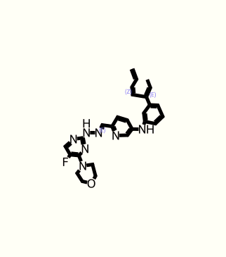 C=C/C=C\C(=C/C)c1cccc(Nc2ccc(/C=N/Nc3ncc(F)c(N4CCOCC4)n3)nc2)c1